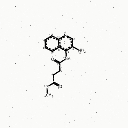 COC(=O)CCC(=O)Nc1c(N)cnc2ccccc12